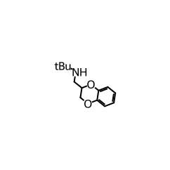 CC(C)(C)NCC1COc2ccccc2O1